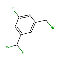 Fc1cc(CBr)cc(C(F)F)c1